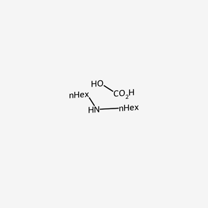 CCCCCCNCCCCCC.O=C(O)O